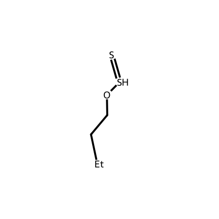 CCCCO[SH]=S